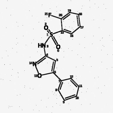 O=S(=O)(Nc1cc(-c2ccccc2)on1)c1ccccc1F